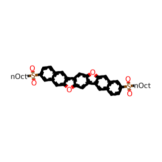 CCCCCCCCS(=O)(=O)c1ccc2cc3c(cc2c1)oc1cc2c(cc13)oc1cc3cc(S(=O)(=O)CCCCCCCC)ccc3cc12